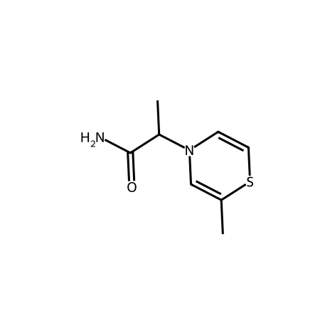 CC1=CN(C(C)C(N)=O)C=CS1